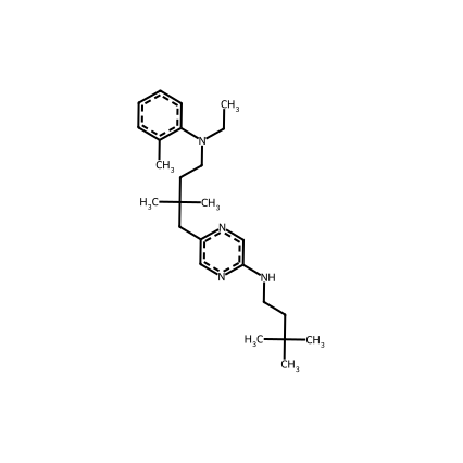 CCN(CCC(C)(C)Cc1cnc(NCCC(C)(C)C)cn1)c1ccccc1C